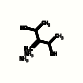 C=C(C(C)O)C(C)O.N.N